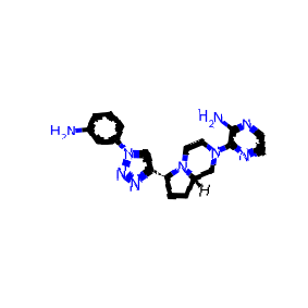 Nc1cccc(-n2cc([C@H]3CC[C@H]4CN(c5nccnc5N)CCN43)nn2)c1